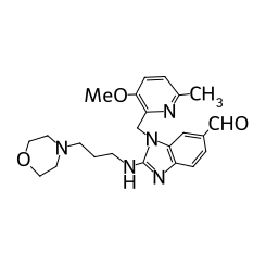 COc1ccc(C)nc1Cn1c(NCCCN2CCOCC2)nc2ccc(C=O)cc21